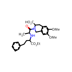 CCOC(=O)C(CCc1ccccc1)NC(C)C(=O)N1Cc2cc(OC)c(OC)cc2CC1C(=O)O